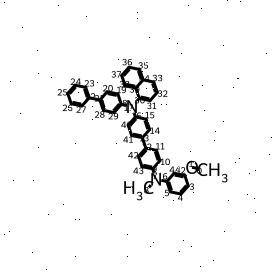 COc1cccc(N(C)c2ccc(-c3ccc(N(c4ccc(-c5ccccc5)cc4)c4cccc5ccccc45)cc3)cc2)c1